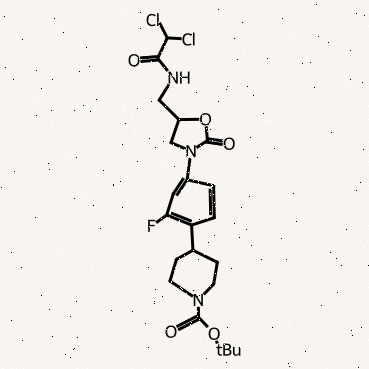 CC(C)(C)OC(=O)N1CCC(c2ccc(N3CC(CNC(=O)C(Cl)Cl)OC3=O)cc2F)CC1